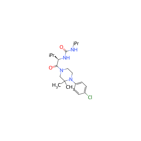 CC(C)NC(=O)N[C@@H](C(=O)N1CCN(c2ccc(Cl)cc2)C(C)(C)C1)C(C)C